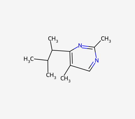 Cc1ncc(C)c(C(C)C(C)C)n1